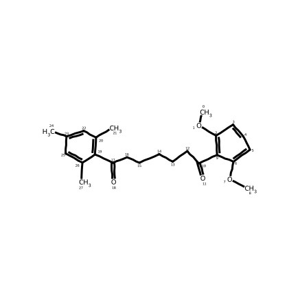 COc1cccc(OC)c1C(=O)CCCCCC(=O)c1c(C)cc(C)cc1C